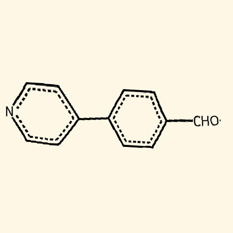 O=[C]c1ccc(-c2ccncc2)cc1